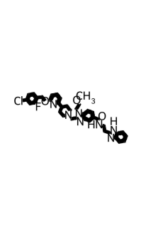 COCCn1c(CN2CCC(c3cccc(OCc4ccc(Cl)cc4F)n3)CC2)nc2cc(C(=O)NCCc3nc4ccccc4[nH]3)ccc21